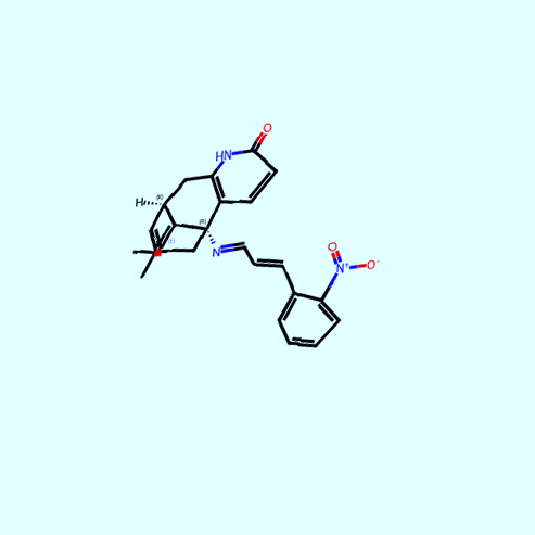 C/C=C1\[C@H]2C=C(C)C[C@]1(N=CC=Cc1ccccc1[N+](=O)[O-])c1ccc(=O)[nH]c1C2